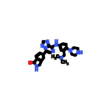 CN(C)Cc1cc(Nc2ncc(-c3ccc4c(c3)CNC4=O)n3ncnc23)ccc1N1CCNCC1